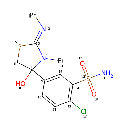 CCN1C(=NC(C)C)SCC1(O)c1ccc(Cl)c(S(N)(=O)=O)c1